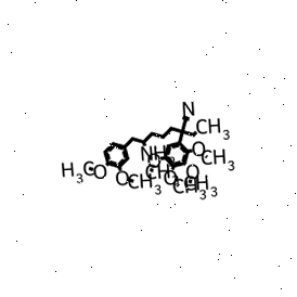 CCC(C#N)(CCCC(N)Cc1ccc(OC)c(OC)c1)c1cc(OC)c(OC)c(OC)c1OC